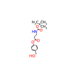 CC(C)(C)OC(=O)NCCC(=O)Oc1ccc(CO)cc1